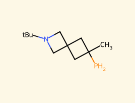 CC1(P)CC2(CN(C(C)(C)C)C2)C1